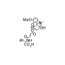 COc1ccc2c3c1O[C@H]1C(OC(=O)/C=C/C(=O)NC(C(=O)O)C(C)C)=CC[C@@]4(O)C(C2)N(C)CC[C@]314